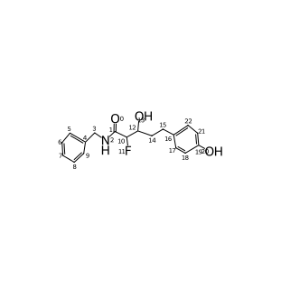 O=C(NCc1ccccc1)C(F)C(O)CCc1ccc(O)cc1